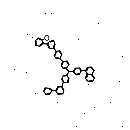 c1ccc(-c2cccc(-c3ccc(C(c4ccc(-c5ccc(-c6ccc7oc8ccccc8c7c6)cc5)cc4)c4ccc(-c5cccc6ccccc56)cc4)cc3)c2)cc1